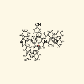 N#Cc1ccc2c(c1)c1ccc3c(c4ccccc4n3-c3cccc([Si](c4ccccc4)(c4ccccc4)c4ccccc4)c3)c1n2-c1nc(-c2cccc([Si](c3ccccc3)(c3ccccc3)c3ccccc3)c2)nc(-n2c3ccccc3c3ccccc32)n1